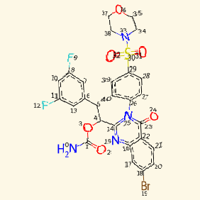 NC(=O)OC(Cc1cc(F)cc(F)c1)c1nc2cc(Br)ccc2c(=O)n1-c1ccc(S(=O)(=O)N2CCOCC2)cc1